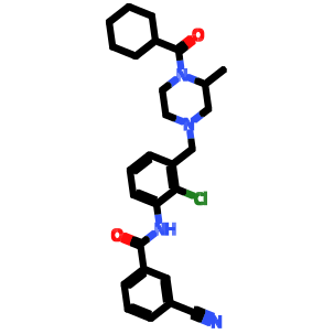 CC1CN(Cc2cccc(NC(=O)c3cccc(C#N)c3)c2Cl)CCN1C(=O)C1CCCCC1